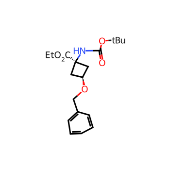 CCOC(=O)[C@]1(NC(=O)OC(C)(C)C)C[C@@H](OCc2ccccc2)C1